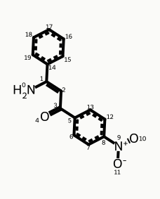 N/C(=C\C(=O)c1ccc([N+](=O)[O-])cc1)c1ccccc1